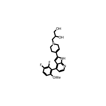 COc1ccc(F)c(F)c1-c1ccnc2[nH]c(C3=CCN(CC(O)CO)CC3)cc12